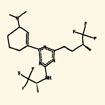 C[C@@H](CCc1nc(N[C@H](C)C(F)(F)F)nc(C2=CC(N(C)C)CCC2)n1)C(F)(F)F